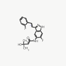 CC(C)(O)CC(=O)Nc1cc2c(/C=C/c3ccccc3F)n[nH]c2cc1F